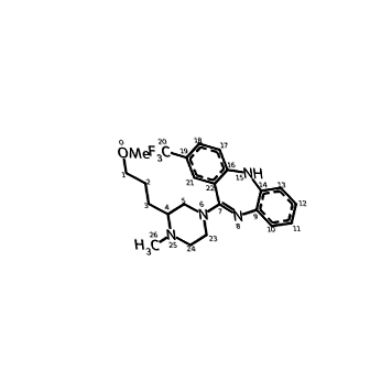 COCCCC1CN(C2=Nc3ccccc3Nc3ccc(C(F)(F)F)cc32)CCN1C